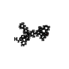 CC1(C)c2ccccc2-c2ccc(N(c3ccc(-c4ccccc4)cc3)c3ccc(-c4ccc5c(c4)-c4ccccc4C54c5ccccc5-c5ccccc5-c5ccccc54)cc3)cc21